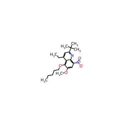 CCCCCOc1c(OC)cc([N+](=O)[O-])c2nc(C(C)(C)C)cc(CC)c12